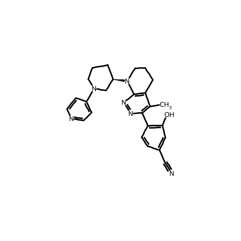 Cc1c(-c2ccc(C#N)cc2O)nnc2c1CCCN2[C@@H]1CCCN(c2ccncc2)C1